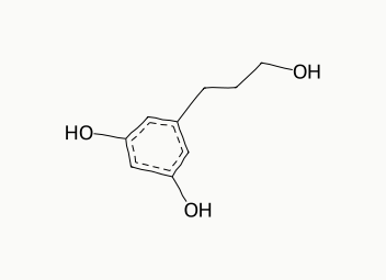 OCCCc1cc(O)cc(O)c1